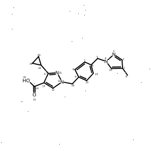 Cc1cnn(Cc2ccc(Cn3cc(C(=O)O)c(C4CC4)n3)cc2)c1